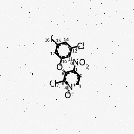 O=[N+]([O-])c1cc[n+]([O-])c(Cl)c1Oc1cc(Cl)cc(I)c1